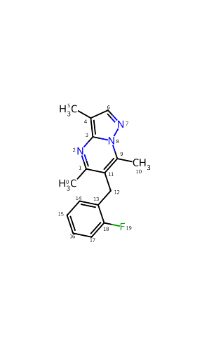 Cc1nc2c(C)cnn2c(C)c1Cc1ccccc1F